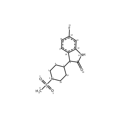 CS(=O)(=O)N1CCC(C2C(=O)Nc3cc(F)ccc32)CC1